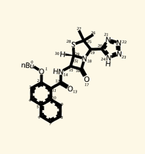 CCCCOc1ccc2ccccc2c1C(=O)NC1C(=O)N2C(c3nnn[nH]3)C(C)(C)S[C@@H]12